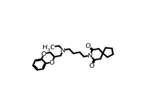 CCN(CCCCN1C(=O)CC2(CCCC2)CC1=O)CC1COc2ccccc2O1